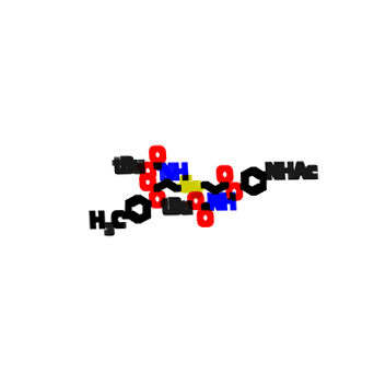 CC(=O)Nc1ccc(OC(=O)C(CSSCC(NC(=O)OC(C)(C)C)C(=O)Oc2ccc(C)cc2)NC(=O)OC(C)(C)C)cc1